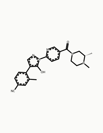 Cc1cc(C#N)ccc1-c1cnn(-c2ccc(C(=O)N3CCN(C)[C@@H](C)C3)cn2)c1O